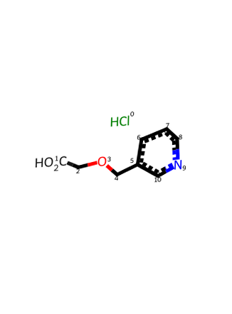 Cl.O=C(O)COCc1cccnc1